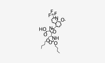 CCCCOCC(NC(=O)OCCCC)c1oc(-c2ccc(OC)c3nc(C(F)(F)F)ccc23)nc1C(=O)O